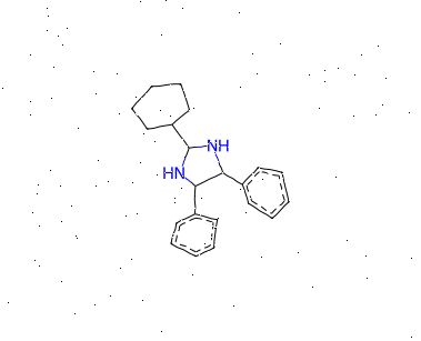 c1ccc(C2NC(C3CCCCC3)NC2c2ccccc2)cc1